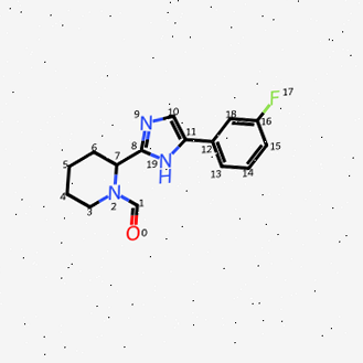 O=CN1CCCCC1c1ncc(-c2cccc(F)c2)[nH]1